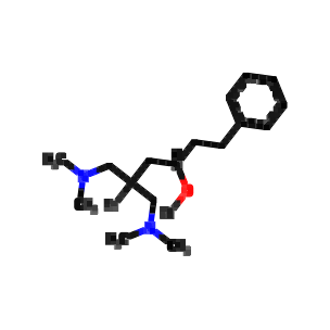 CCO[SiH](CCc1ccccc1)CC(CC)(CN(C)C)CN(C)C